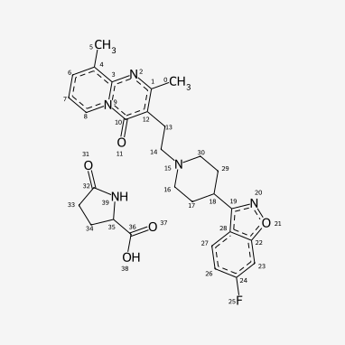 Cc1nc2c(C)cccn2c(=O)c1CCN1CCC(c2noc3cc(F)ccc23)CC1.O=C1CCC(C(=O)O)N1